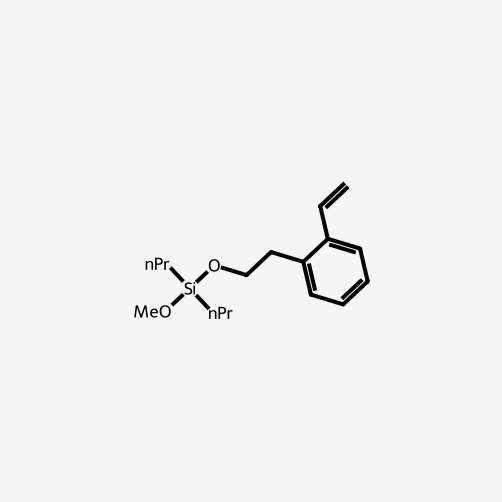 C=Cc1ccccc1CCO[Si](CCC)(CCC)OC